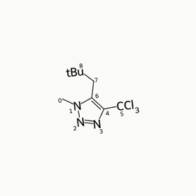 Cn1nnc(C(Cl)(Cl)Cl)c1CC(C)(C)C